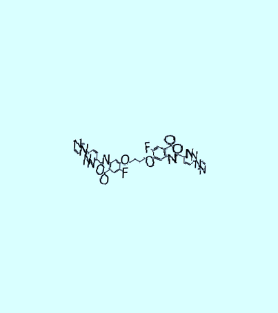 O=c1oc(-c2ccc(-n3ccnc3)nn2)nc2cc(OCCCCOc3cc4nc(-c5ccc(-n6ccnc6)nn5)oc(=O)c4cc3F)c(F)cc12